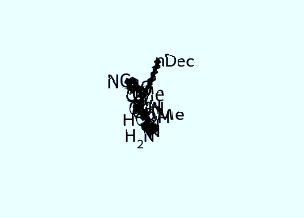 CCCCCCCCCCCCCCCCCCOCC(COP(=O)(O)OC1C(C#N)(OC)C1(O)C(O)c1ccc2c(N)ncnn12)OCc1ccc(C#N)cc1OC